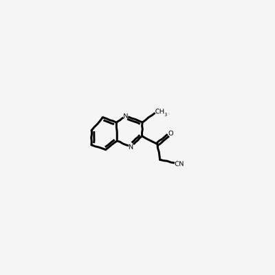 Cc1nc2ccccc2nc1C(=O)CC#N